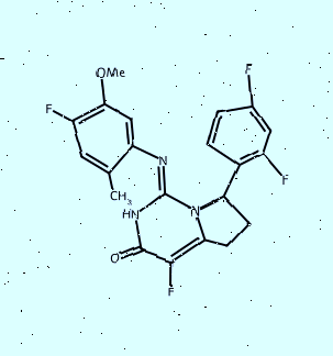 COc1cc(/N=c2\[nH]c(=O)c(F)c3n2C(c2ccc(F)cc2F)CC3)c(C)cc1F